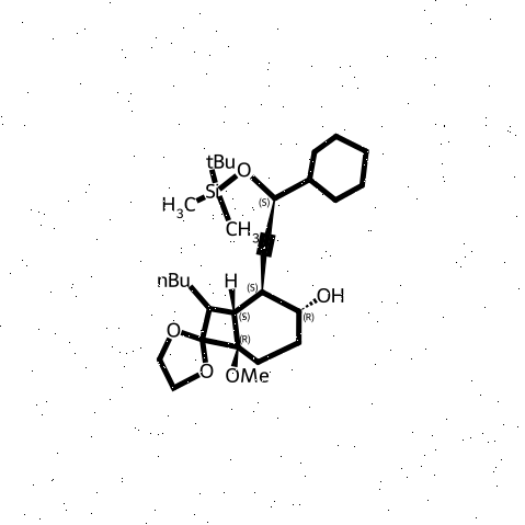 CCCCC1[C@@H]2[C@@H](C#C[C@@H](O[Si](C)(C)C(C)(C)C)C3CCCCC3)[C@H](O)CC[C@]2(OC)C12OCCO2